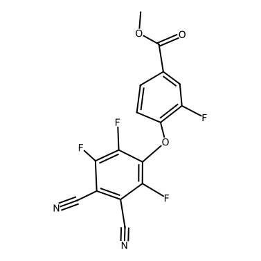 COC(=O)c1ccc(Oc2c(F)c(F)c(C#N)c(C#N)c2F)c(F)c1